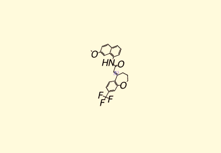 COc1ccc2cccc(NC(=O)/C=C3\CCCOc4cc(C(F)(F)F)ccc43)c2c1